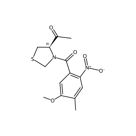 COc1cc(C(=O)N2CSC[C@H]2C(C)=O)c([N+](=O)[O-])cc1C